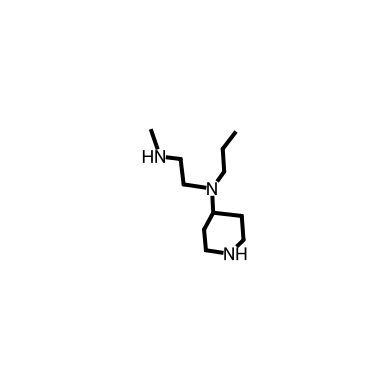 CCCN(CCNC)C1CCNCC1